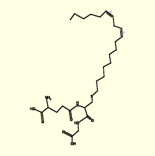 CCCCC/C=C\C/C=C\CCCCCCCCSCC(NC(=O)CCC(N)C(=O)O)C(=O)NCC(=O)O